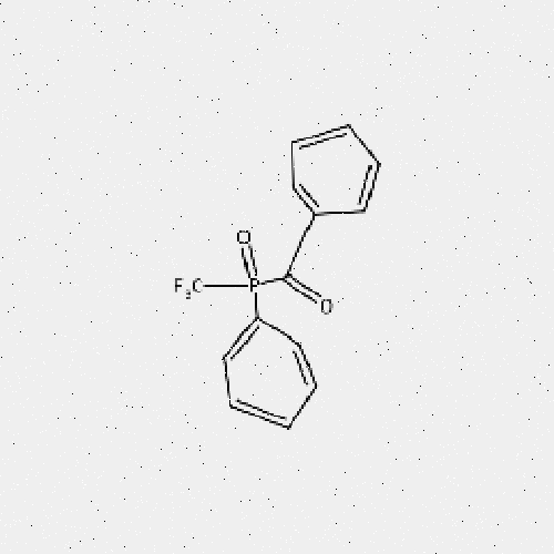 O=C(c1ccccc1)P(=O)(c1ccccc1)C(F)(F)F